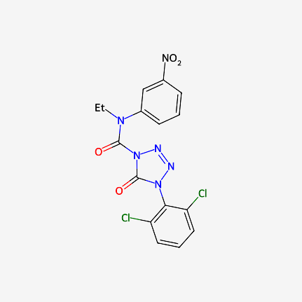 CCN(C(=O)n1nnn(-c2c(Cl)cccc2Cl)c1=O)c1cccc([N+](=O)[O-])c1